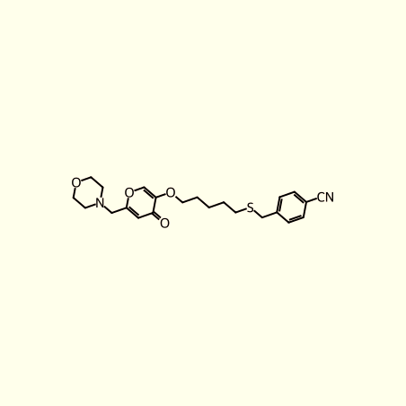 N#Cc1ccc(CSCCCCCOc2coc(CN3CCOCC3)cc2=O)cc1